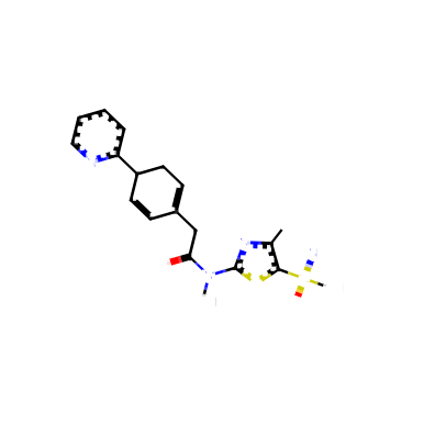 Cc1nc(N(C)C(=O)CC2=CCC(c3ccccn3)C=C2)sc1S(C)(=N)=O